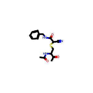 CC(=O)NC(CSC(C#N)C(=O)NCc1ccccc1)C(C)=O